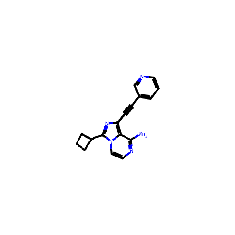 Nc1nccn2c(C3CCC3)nc(C#Cc3cccnc3)c12